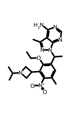 CCOc1c(C(C)n2nc(C)c3c(N)ncnc32)cc(C)c([N+](=O)[O-])c1C1CN(C(C)C)C1